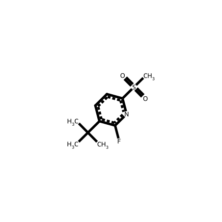 CC(C)(C)c1ccc(S(C)(=O)=O)nc1F